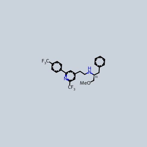 COC[C@H](Cc1ccccc1)NCCc1cc(-c2ccc(C(F)(F)F)cc2)nc(C(F)(F)F)c1